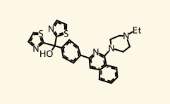 CCN1CCN(c2nc(-c3ccc(C(O)(c4nccs4)c4nccs4)cc3)cc3ccccc23)CC1